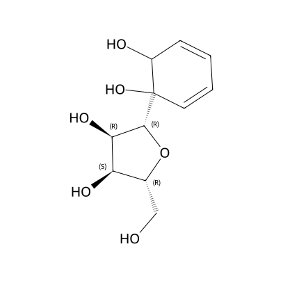 OC[C@H]1O[C@@H](C2(O)C=CC=CC2O)[C@H](O)[C@@H]1O